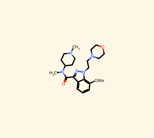 COc1cccc2c(C(=O)N(C)C3CCN(C)CC3)nn(CCN3CCOCC3)c12